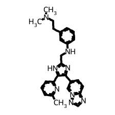 Cc1cccc(-c2[nH]c(CNc3cccc(CCN(C)C)c3)nc2-c2ccc3ncnn3c2)n1